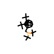 CC(C)(C)P(C[C]12[CH]3[CH]4[C]5(C(C)(C)C)[C]1(C(C)(C)C)[Fe]34251678[CH]2[CH]1[CH]6[CH]7[CH]28)C(C)(C)C